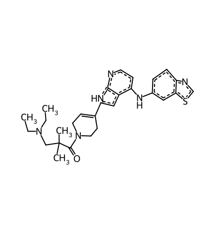 CCN(CC)CC(C)(C)C(=O)N1CC=C(c2cc3c(Nc4ccc5ncsc5c4)ccnc3[nH]2)CC1